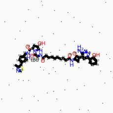 Cc1ncsc1-c1ccc(CNC(=O)[C@@H]2C[C@@H](O)CN2C(=O)C(NC(=O)CCCCCCCCC(=O)NC2CC(c3cc(-c4ccccc4O)nnc3N)C2=O)C(C)(C)C)cc1